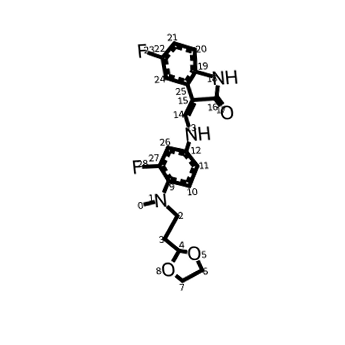 CN(CCC1OCCO1)c1ccc(NC=C2C(=O)Nc3ccc(F)cc32)cc1F